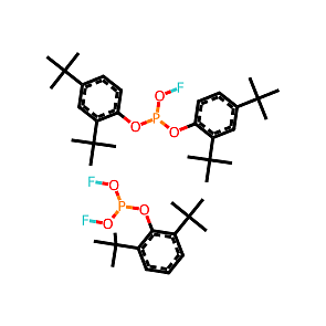 CC(C)(C)c1ccc(OP(OF)Oc2ccc(C(C)(C)C)cc2C(C)(C)C)c(C(C)(C)C)c1.CC(C)(C)c1cccc(C(C)(C)C)c1OP(OF)OF